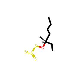 CCCC[C@](C)(CC)OS[SH](=S)=S